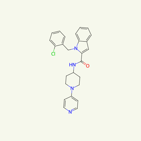 O=C(NC1CCN(c2ccncc2)CC1)c1cc2ccccc2n1Cc1ccccc1Cl